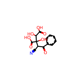 N#CC(C(=O)c1ccccc1)C(O)(C(=O)O)C(O)C(=O)O